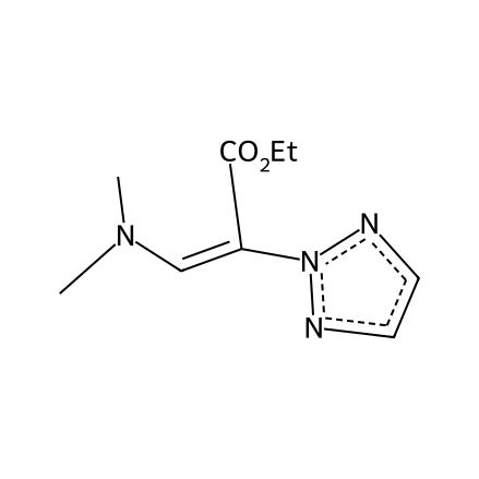 CCOC(=O)C(=CN(C)C)n1nccn1